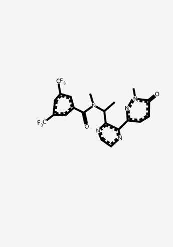 CC(c1nccnc1-c1ccc(=O)n(C)n1)N(C)C(=O)c1cc(C(F)(F)F)cc(C(F)(F)F)c1